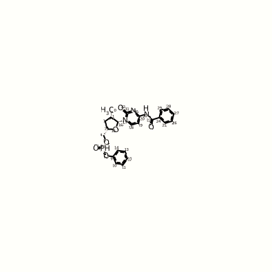 C[C@H]1C[C@@H](CO[PH](=O)Oc2ccccc2)O[C@H]1n1ccc(NC(=O)c2ccccc2)nc1=O